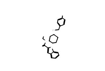 CCN(C(=O)c1cc2ccccc2[nH]1)[C@H]1CCC[C@@H](NCc2ccc(Cl)cc2)C1